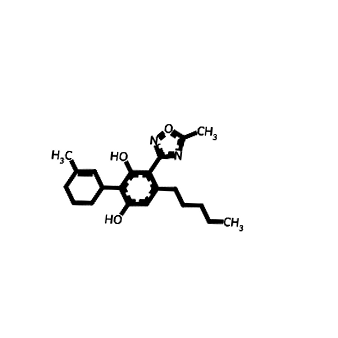 CCCCCc1cc(O)c(C2C=C(C)CCC2)c(O)c1-c1noc(C)n1